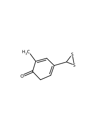 CC1=CC(C2SS2)=CCC1=O